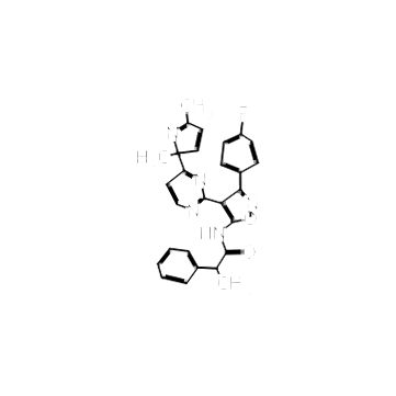 CC1=NC(C)(c2ccnc(-c3c(-c4ccc(F)cc4)noc3NC(=O)C(C)c3ccccc3)n2)C=C1